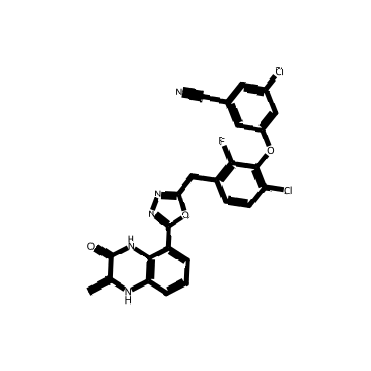 C=C1Nc2cccc(-c3nnc(Cc4ccc(Cl)c(Oc5cc(Cl)cc(C#N)c5)c4F)o3)c2NC1=O